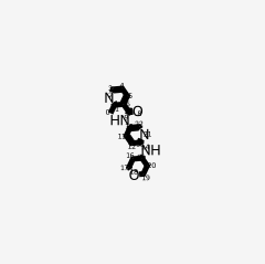 Cc1ncccc1C(=O)Nc1ccc(NC2CCOCC2)nc1